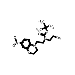 CC(C)(C)OC(=O)N(CCO)CCN1CCSc2cc([N+](=O)[O-])ccc21